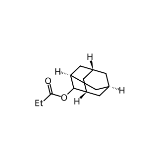 CCC(=O)OC1[C@H]2C[C@@H]3C[C@@H](C[C@H]1C3)C2